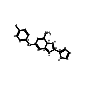 Cc1ccc(Oc2cc(N)n3nc(-c4ccco4)nc3c2)cc1